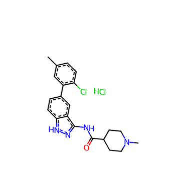 Cc1ccc(Cl)c(-c2ccc3[nH]nc(NC(=O)C4CCN(C)CC4)c3c2)c1.Cl